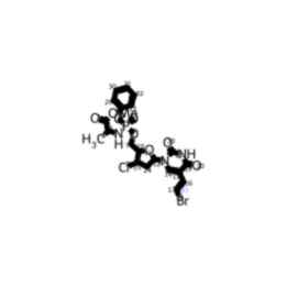 COC(=O)C(C)NP(=O)(OCC1OC(n2cc(/C=C/Br)c(=O)[nH]c2=O)CC1Cl)Oc1ccccc1